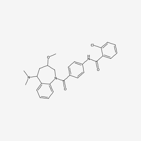 COC1CC(N(C)C)c2ccccc2N(C(=O)c2ccc(NC(=O)c3ccccc3Cl)cc2)C1